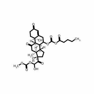 CCCCC(=O)OC(=O)OC1CC2=CC(=O)CC[C@]2(C)[C@H]2C(=O)C[C@@]3(C)[C@@H](CC[C@]3(O)C(=O)C(O)OC(=O)OC)[C@H]12